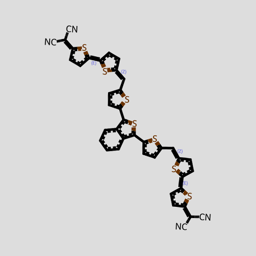 N#CC(C#N)=c1cc/c(=c2/cc/c(=C/c3ccc(-c4sc(-c5ccc(/C=c6/cc/c(=c7/ccc(=C(C#N)C#N)s7)s6)s5)c5ccccc45)s3)s2)s1